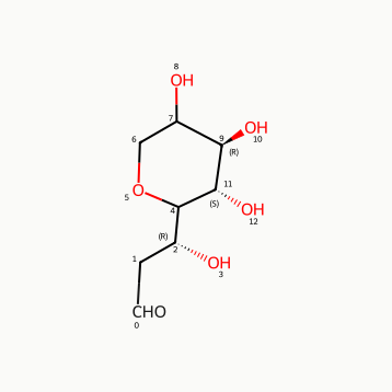 O=CC[C@@H](O)C1OCC(O)[C@@H](O)[C@@H]1O